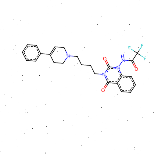 O=C(Nn1c(=O)n(CCCCN2CC=C(c3ccccc3)CC2)c(=O)c2ccccc21)C(F)(F)F